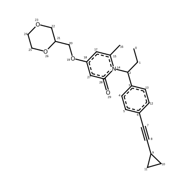 CCC(c1ccc(C#CC2CC2)cc1)n1c(C)cc(OCC2COCCO2)cc1=O